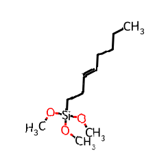 CCCC/C=C/CC[Si](OC)(OC)OC